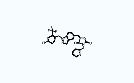 O=C1SC(=Cc2ccc3c(cnn3Cc3ccc(Cl)cc3C(F)(F)F)c2)C(=O)N1Cc1ccccn1